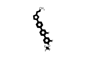 CCCC1CCC(c2ccc(-c3ccc(-c4ccc(OC(F)(F)F)c(F)c4)c(F)c3)cc2)C1